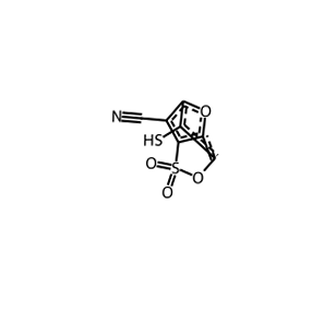 N#Cc1c2c3oc1c(S)c3OS2(=O)=O